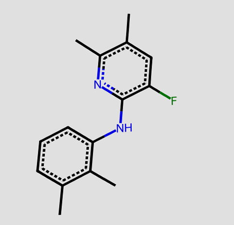 Cc1cc(F)c(Nc2cccc(C)c2C)nc1C